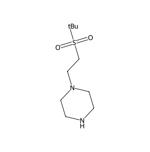 CC(C)(C)S(=O)(=O)CCN1CCNCC1